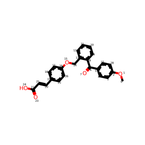 COc1ccc(C(=O)c2ccccc2COc2ccc(C=CC(=O)O)cc2)cc1